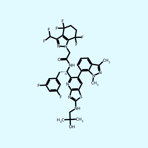 Cc1nn(C)c2c(-c3cc4sc(NCC(C)(C)O)nc4nc3[C@H](Cc3cc(F)cc(F)c3)NC(=O)Cn3nc(C(F)F)c4c3C(F)(F)CCC4(F)F)cccc12